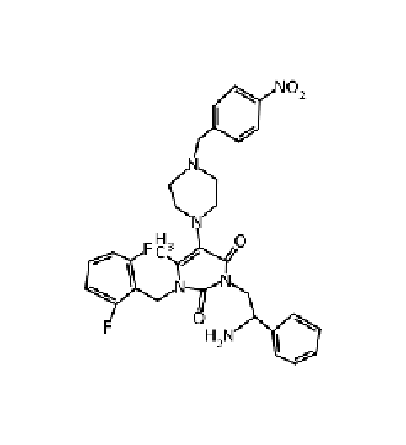 Cc1c(N2CCN(Cc3ccc([N+](=O)[O-])cc3)CC2)c(=O)n(CC(N)c2ccccc2)c(=O)n1Cc1c(F)cccc1F